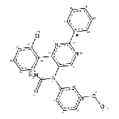 COc1cccc(N(C(N)=O)c2cnc(-c3ccccc3)nc2-c2ccccc2Cl)c1